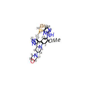 COc1cc(N2CCC(N3CCOCC3)CC2)c(-c2cnn(C)c2)cc1Nc1ncc(Br)c(P(C)C)n1